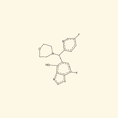 Oc1c(C(c2ccc(F)cn2)N2CCOCC2)cc(F)c2scnc12